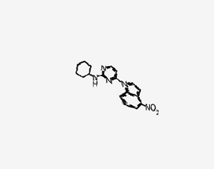 O=[N+]([O-])c1cccc2c1ccn2-c1ccnc(NC2CCCCC2)n1